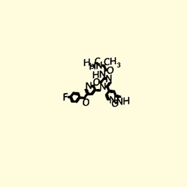 CN[C@@H](C)C(=O)Nc1ncc(C2=CC3=CNON3C=C2)n(Cc2cncc(C(=O)c3ccc(F)cc3)c2)c1=O